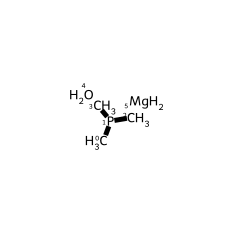 CP(C)C.O.[MgH2]